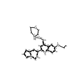 C1COCCN1.CCOc1ccc2oc(-c3cc4cccn4cn3)cc(=NO)c2c1